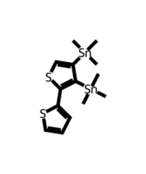 [CH3][Sn]([CH3])([CH3])[c]1csc(-c2cccs2)[c]1[Sn]([CH3])([CH3])[CH3]